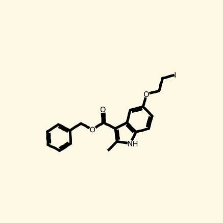 Cc1[nH]c2ccc(OCCI)cc2c1C(=O)OCc1ccccc1